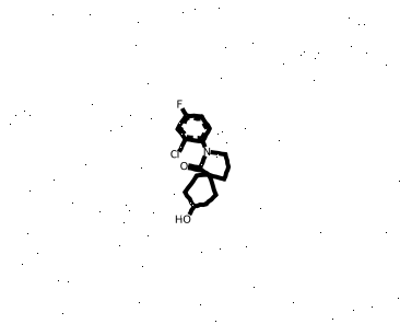 O=C1N(c2ccc(F)cc2Cl)CCCC12CCC(O)CC2